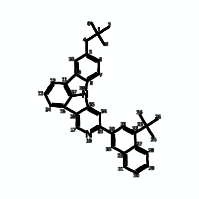 CC(C)(C)Cc1ccc2c(c1)c1cccc3c4cnc(-c5cc(C(C)(C)C)c6ccccc6c5)cc4n2c13